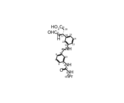 CCCNC(=O)Nc1cccc(SNc2cccc([C@@H](CC(=O)O)NC=O)c2)c1